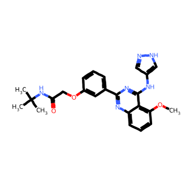 COc1cccc2nc(-c3cccc(OCC(=O)NC(C)(C)C)c3)nc(Nc3cn[nH]c3)c12